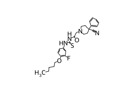 CCCCCOc1ccc(NC(=S)NC(=O)CN2CCC(C#N)(c3ccccc3)CC2)cc1F